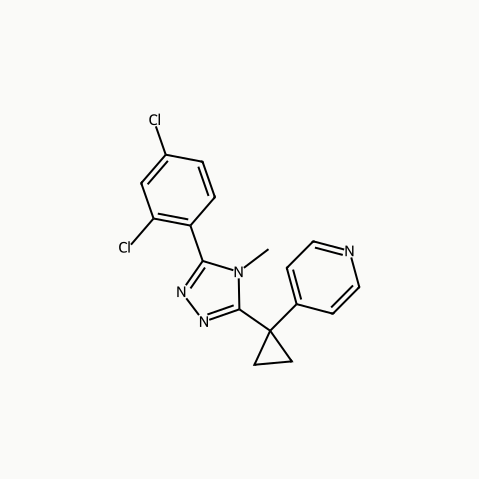 Cn1c(-c2ccc(Cl)cc2Cl)nnc1C1(c2ccncc2)CC1